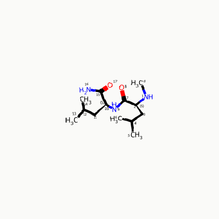 CN[C@@H](CC(C)C)C(=O)N[C@@H](CC(C)C)C(N)=O